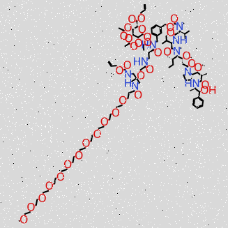 C=CCOC(=O)NCC1(OCC(=O)NCCC(=O)NCc2cc(COC(=O)N(C)[C@H](C(=O)N[C@H](C(=O)N(C)[C@@H]([C@@H](C)CC)[C@@H](CC(=O)N3CCC[C@H]3[C@H](OC)[C@@H](C)C(=O)N[C@H](C)[C@@H](O)c3ccccc3)OC)C(C)C)C(C)C)ccc2O[C@@H]2O[C@H](C(=O)OCC=C)[C@@H](OC(C)=O)[C@H](OC(C)=O)[C@H]2OC(C)=O)CN(C(=O)CCOCCOCCOCCOCCOCCOCCOCCOCCOCCOCCOCCOC)C1